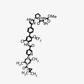 COC(=O)N[C@H](C(=O)N1CCC[C@H]1c1nc(-c2ccc(-c3cc(Cl)c(NC(=O)c4ccc(N5C[C@H](C)N(C(=O)[C@H]6CC6(C)C)C[C@H]5C)nc4)cc3OC(F)(F)F)cc2)c[nH]1)C(C)C